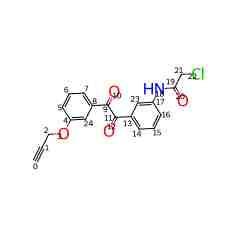 C#CCOc1cccc(C(=O)C(=O)c2cccc(NC(=O)CCl)c2)c1